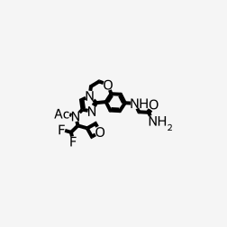 CC(=O)N(c1cn2c(n1)-c1ccc(NCC(N)=O)cc1OCC2)C(C(F)F)C1COC1